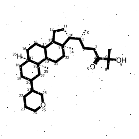 C[C@H](CCC(=O)C(C)(C)O)[C@H]1CCC2C3CC[C@@H]4CCC(C5CCCOC5)C[C@]4(C)C3CC[C@@]21C